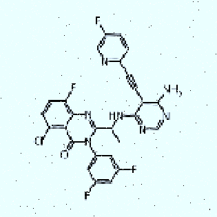 CC(Nc1ncnc(N)c1C#Cc1ccc(F)cn1)c1nc2c(F)ccc(Cl)c2c(=O)n1-c1cc(F)cc(F)c1